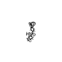 O=C(Nc1ccc2occc2c1)c1ccc(N2COCCS2(=O)=O)cc1